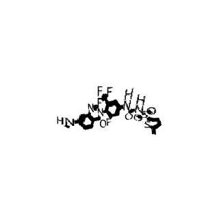 CNc1ccc2c(=O)n(-c3c(F)cc(NC(=O)NS(=O)(=O)c4ccc(C)s4)cc3C(F)(F)F)cnc2c1